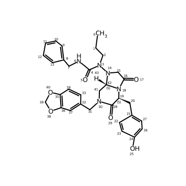 CCCN(C(=O)NCc1ccccc1)N1CC(=O)N2[C@@H](Cc3ccc(O)cc3)C(=O)N(Cc3ccc4c(c3)OCO4)C[C@@H]21